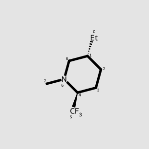 CC[C@@H]1CC[C@@H](C(F)(F)F)N(C)C1